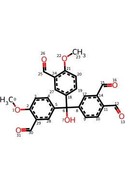 COc1ccc(C(O)(c2ccc(C=O)c(C=O)c2)c2ccc(OC)c(C=O)c2)cc1C=O